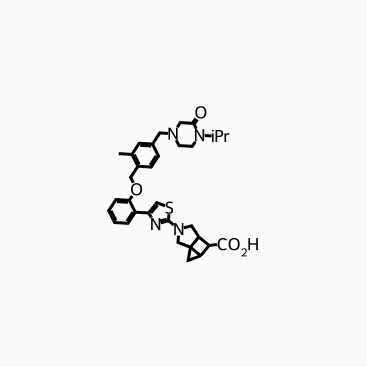 Cc1cc(CN2CCN(C(C)C)C(=O)C2)ccc1COc1ccccc1-c1csc(N2CC3C(C(=O)O)C4CC34C2)n1